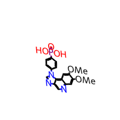 COc1cc2ncc3ncn(-c4ccc(P(=O)(O)O)cc4)c3c2cc1OC